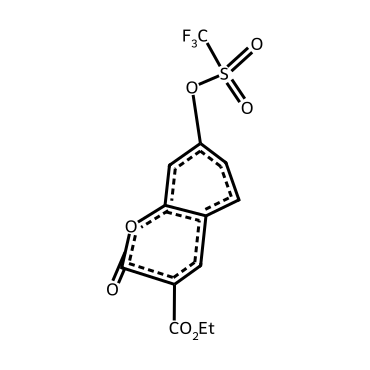 CCOC(=O)c1cc2ccc(OS(=O)(=O)C(F)(F)F)cc2oc1=O